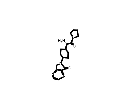 N[C@H](C(=O)N1CCCC1)C1CCC(N2Cc3nccnc3C2=O)CC1